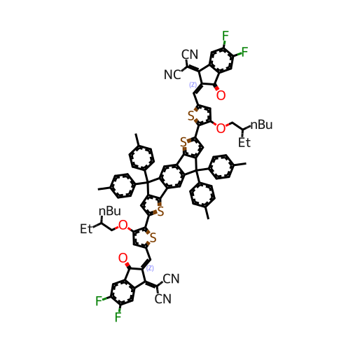 CCCCC(CC)COc1cc(/C=C2\C(=O)c3cc(F)c(F)cc3C2=C(C#N)C#N)sc1-c1cc2c(s1)-c1cc3c(cc1C2(c1ccc(C)cc1)c1ccc(C)cc1)-c1sc(-c2sc(/C=C4\C(=O)c5cc(F)c(F)cc5C4=C(C#N)C#N)cc2OCC(CC)CCCC)cc1C3(c1ccc(C)cc1)c1ccc(C)cc1